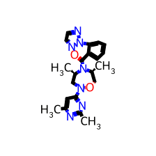 Cc1cc(N2C[C@@H](C)N(C(=O)c3ccccc3-n3nccn3)[C@@H](C)CO2)nc(C)n1